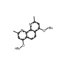 CCCCOc1cc(C)nc2c1ccc1c(OCCCC)cc(C)nc12